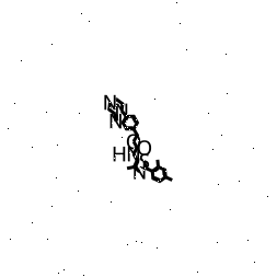 Cc1ccc(-c2nc(C)c(NC(=O)OCc3ccc4c(c3)nc3n4CCN(C)C3)s2)c(C)c1